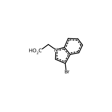 O=C(O)Cn1cc(Br)c2ccccc21